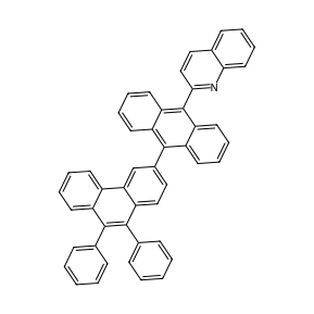 c1ccc(-c2c(-c3ccccc3)c3ccc(-c4c5ccccc5c(-c5ccc6ccccc6n5)c5ccccc45)cc3c3ccccc23)cc1